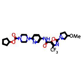 COC1CCN(c2nc(C(F)(F)F)c(C(=O)Nc3ccc(N4CCN(C(=O)OC5CCCC5)CC4)nc3)o2)C1